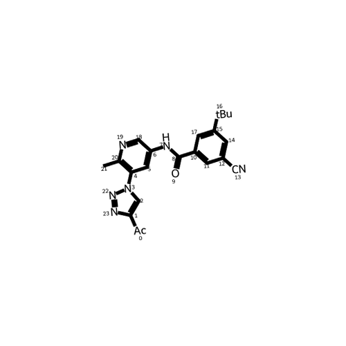 CC(=O)c1cn(-c2cc(NC(=O)c3cc(C#N)cc(C(C)(C)C)c3)cnc2C)nn1